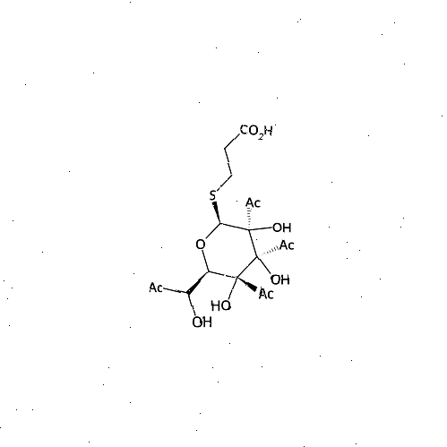 CC(=O)C(O)[C@H]1O[C@@H](SCCC(=O)O)[C@](O)(C(C)=O)[C@](O)(C(C)=O)[C@@]1(O)C(C)=O